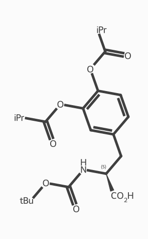 CC(C)C(=O)Oc1ccc(C[C@H](NC(=O)OC(C)(C)C)C(=O)O)cc1OC(=O)C(C)C